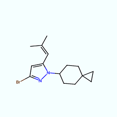 CC(C)=Cc1cc(Br)nn1C1CCC2(CC1)CC2